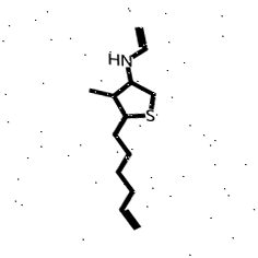 C=CCCCCC1SCC(NC=C)C1C